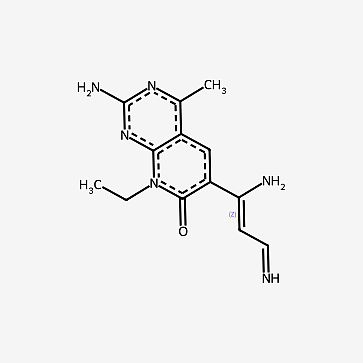 CCn1c(=O)c(/C(N)=C/C=N)cc2c(C)nc(N)nc21